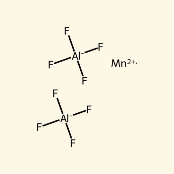 [F][Al-]([F])([F])[F].[F][Al-]([F])([F])[F].[Mn+2]